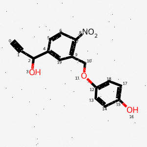 C#CC(O)c1ccc([N+](=O)[O-])c(COc2ccc(O)cc2)c1